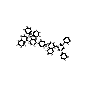 c1ccc(-c2cc(-c3ccccc3)nc(-c3ccc(-c4ccc(-c5ccc6c(c5)C(c5ccccc5)(c5ccccc5)c5ccc7ccccc7c5-6)cc4)c4ccccc34)n2)cc1